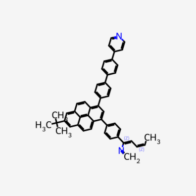 C=N/C(=C\C=C/C)c1ccc(-c2cc(-c3ccc(-c4ccc(-c5ccncc5)cc4)cc3)c3ccc4cc(C(C)(C)C)cc5ccc2c3c54)cc1